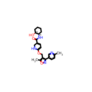 Cc1ccc(-c2noc(C)c2COC2=CC=C(C(=O)N[C@@H]3CCCC[C@@H]3O)CN2)cn1